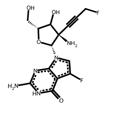 Nc1nc2c(c(F)cn2[C@@H]2O[C@H](CO)C(O)[C@]2(N)C#CCF)c(=O)[nH]1